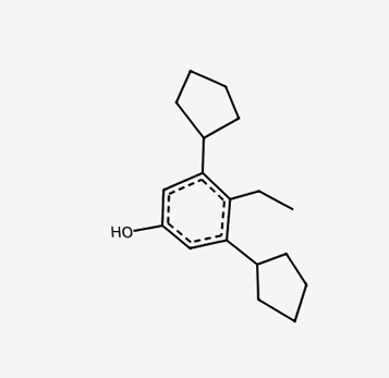 CCc1c(C2CCCC2)cc(O)cc1C1CCCC1